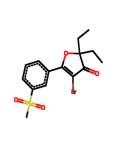 CCC1(CC)OC(c2cccc(S(C)(=O)=O)c2)=C(Br)C1=O